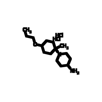 CCCOC1CCC(C)(N2CCC(N)CC2)CC1.Cl.Cl